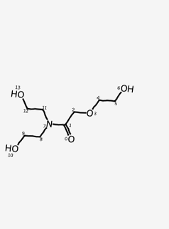 O=C(COCCO)N(CCO)CCO